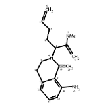 C=CCCC(C(=C)NC)N1CCc2cccc(N)c2C1=C